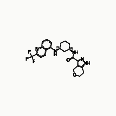 O=C(N[C@@H]1CCC[C@H](Nc2cccc3nc(C(F)(F)F)ccc23)C1)c1n[nH]c2c1COCC2